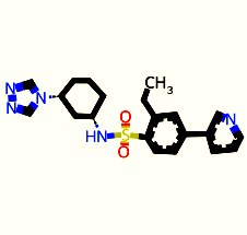 CCc1cc(-c2cccnc2)ccc1S(=O)(=O)N[C@H]1CCC[C@@H](n2cnnc2)C1